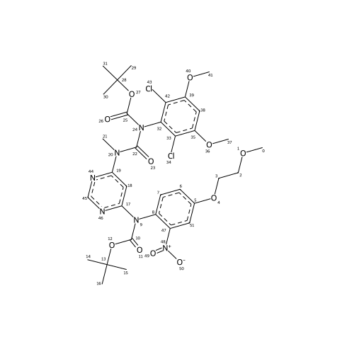 COCCOc1ccc(N(C(=O)OC(C)(C)C)c2cc(N(C)C(=O)N(C(=O)OC(C)(C)C)c3c(Cl)c(OC)cc(OC)c3Cl)ncn2)c([N+](=O)[O-])c1